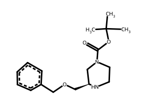 CC(C)(C)OC(=O)N1CCN[C@@H](COCc2ccccc2)C1